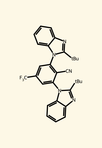 CC(C)(C)c1nc2ccccc2n1-c1cc(C(F)(F)F)cc(-n2c(C(C)(C)C)nc3ccccc32)c1C#N